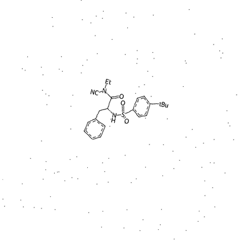 CCN(C#N)C(=O)C(Cc1ccccc1)NS(=O)(=O)c1ccc(C(C)(C)C)cc1